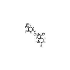 CC(C)Oc1ccc(COc2cc3n(c(=O)n2)CC[C@@H](C)N3C)cc1F